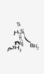 B[SiH3].[AlH3].[MgH2].[Ti]